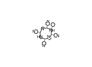 C1=Cc2nc1c(-c1ccncc1)c1ccc([nH]1)c(-c1ccncc1)c1nc(c(-c3ccncc3)c3[nH]c(cc3-c3ccccc3)c2-c2ccncc2)C=C1